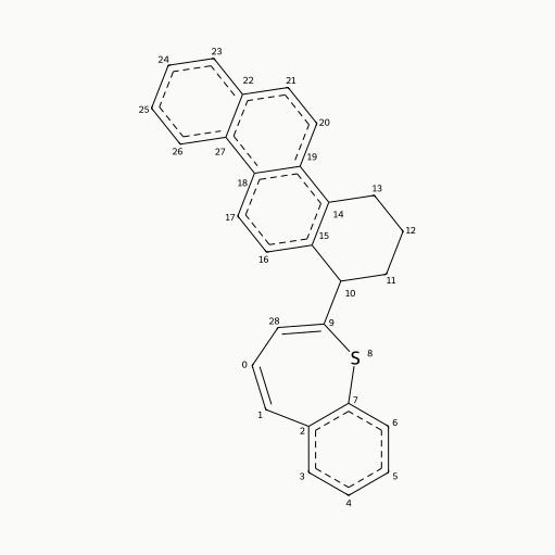 C1=Cc2ccccc2SC(C2CCCc3c2ccc2c3ccc3ccccc32)=C1